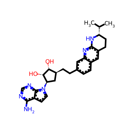 CC(C)[C@@H]1CCc2cc3ccc(CC[C@H]4C[C@@H](n5ccc6c(N)ncnc65)[C@H](O)[C@@H]4O)cc3nc2N1